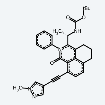 C[C@H](NC(=O)OC(C)(C)C)c1c2c3c(ccc(C#Cc4cnn(C)c4)c3c(=O)n1-c1ccccc1)CCC2